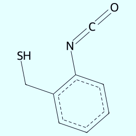 O=C=Nc1ccccc1CS